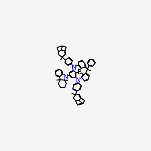 CC1(c2ccc(N3c4cc(N5c6ccccc6C6(C)CCCCC56C)cc5c4B4c6c3cccc6C(C)(c3ccccc3)c3cccc(c34)N5c3ccc(C4(C)C=C5CC6CC(C4)C56)cc3)cc2)C=C2CC3=CC(C1)C32